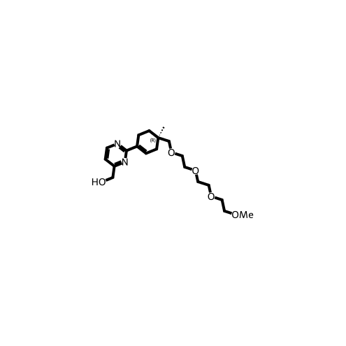 COCCOCCOCCOC[C@@]1(C)CC=C(c2nccc(CO)n2)CC1